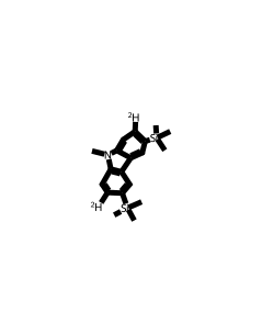 [2H]c1cc2c(cc1[Si](C)(C)C)c1cc([Si](C)(C)C)c([2H])cc1n2C